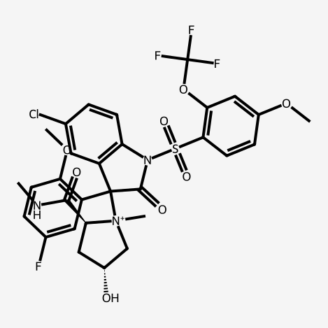 CNC(=O)[C@@H]1C[C@@H](O)C[N+]1(C)C1(c2cc(F)ccc2OC)C(=O)N(S(=O)(=O)c2ccc(OC)cc2OC(F)(F)F)c2ccc(Cl)cc21